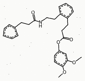 COc1ccc(OC(=O)CCc2ccccc2CCNC(=O)CCc2ccccc2)cc1OC